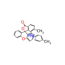 Cc1ccc(Nc2c(C)ccc3c2C2(OC3=O)c3ccccc3Oc3ccccc32)cc1